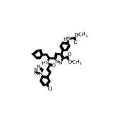 COC(=O)Nc1ccc(-c2cc(C(Cc3ccccc3)NC(=O)C=Cc3cc(Cl)ccc3-n3cnnn3)nnc2C(=O)OC)cc1